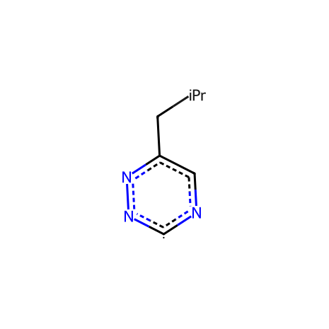 CC(C)Cc1cn[c]nn1